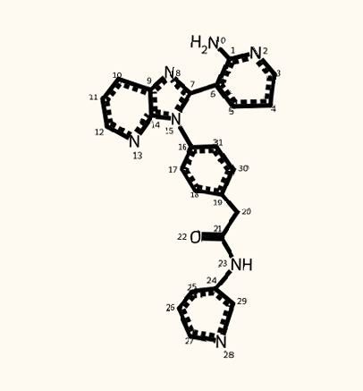 Nc1ncccc1-c1nc2cccnc2n1-c1ccc(CC(=O)Nc2cccnc2)cc1